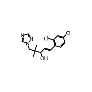 CC(C)(Cn1cncn1)C(O)/C=C/c1ccc(Cl)cc1Cl